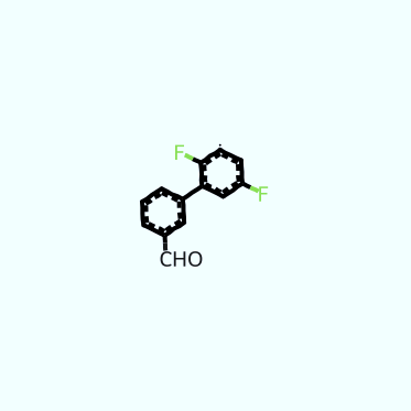 O=Cc1cccc(-c2cc(F)c[c]c2F)c1